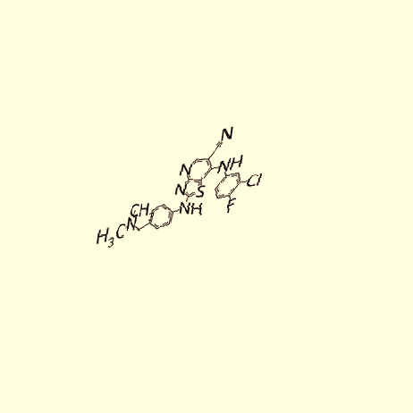 CN(C)Cc1ccc(Nc2nc3ncc(C#N)c(Nc4ccc(F)c(Cl)c4)c3s2)cc1